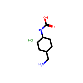 Cl.NCC1CCC(NC(=O)O)CC1